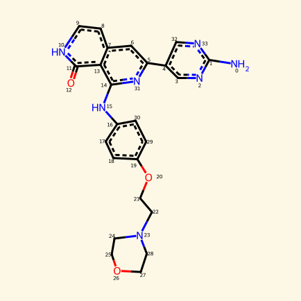 Nc1ncc(-c2cc3cc[nH]c(=O)c3c(Nc3ccc(OCCN4CCOCC4)cc3)n2)cn1